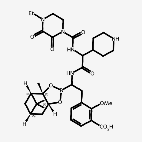 CCN1CCN(C(=O)NC(C(=O)NC(Cc2cccc(C(=O)O)c2OC)B2O[C@@H]3C[C@@H]4C[C@@H](C4(C)C)[C@]3(C)O2)C2CCNCC2)C(=O)C1=O